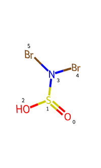 O=S(O)N(Br)Br